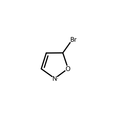 BrC1C=C[N]O1